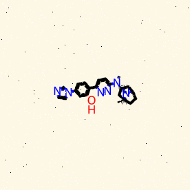 CN(c1ccc(-c2ccc(-n3ccnc3)cc2O)nn1)[C@H]1CC2CC[C@](C)(C1)N2C